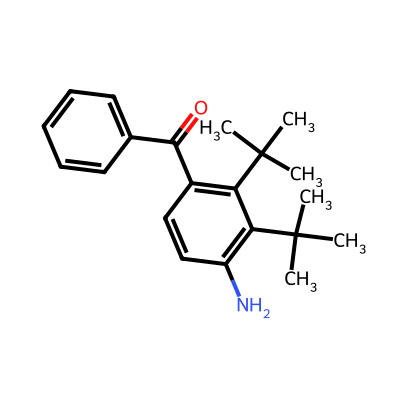 CC(C)(C)c1c(N)ccc(C(=O)c2ccccc2)c1C(C)(C)C